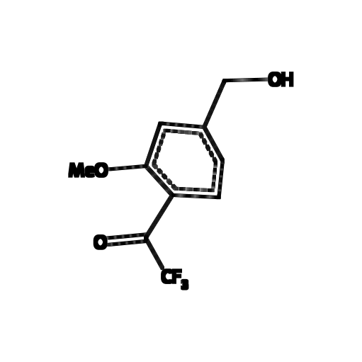 COc1cc(CO)ccc1C(=O)C(F)(F)F